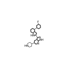 Fc1cccc(-c2cccc3[nH]c(-c4n[nH]c5ncc(C6CCNCC6)cc45)cc23)c1